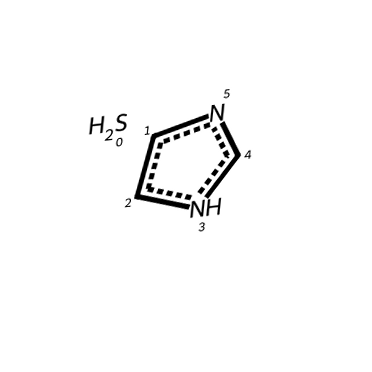 S.c1c[nH]cn1